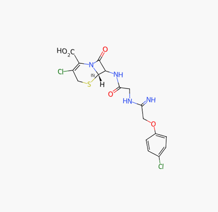 N=C(COc1ccc(Cl)cc1)NCC(=O)NC1C(=O)N2C(C(=O)O)=C(Cl)CS[C@@H]12